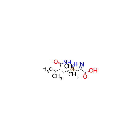 CC(C)C(CC(C)(C)SCC(N)C(=O)O)C(N)=O